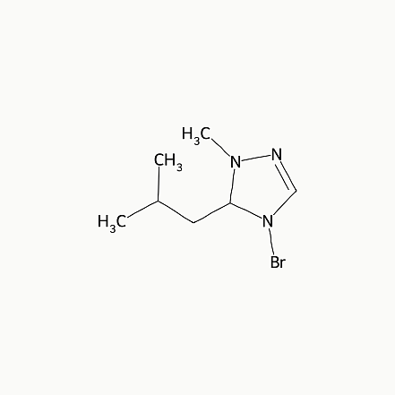 CC(C)CC1N(Br)C=NN1C